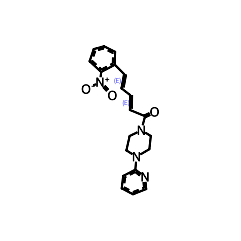 O=C(/C=C/C=C/c1ccccc1[N+](=O)[O-])N1CCN(c2ccccn2)CC1